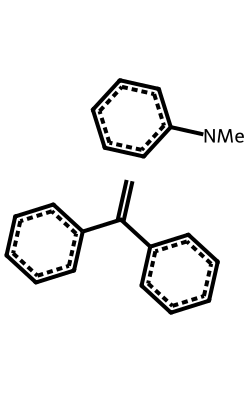 C=C(c1ccccc1)c1ccccc1.CNc1ccccc1